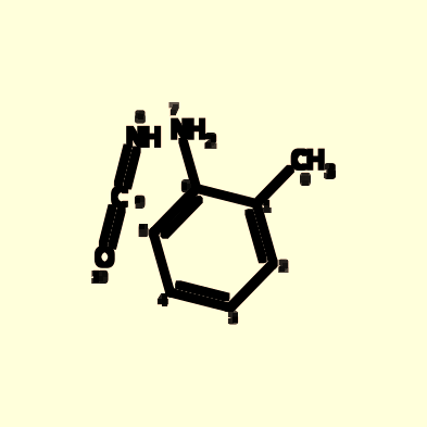 Cc1ccccc1N.N=C=O